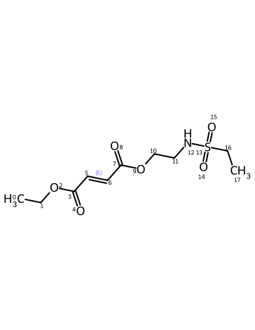 CCOC(=O)/C=C/C(=O)OCCNS(=O)(=O)CC